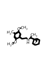 COc1cc(CCNC(C)C2CC3CCC2CC3)c(OC)cc1C